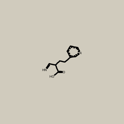 N=CC(CCc1cccnc1)C(=O)O